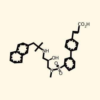 CN(C[C@H](O)CNC(C)(C)Cc1ccc2ccccc2c1)S(=O)(=O)c1cccc(-c2ccc(/C=C/C(=O)O)cc2)c1